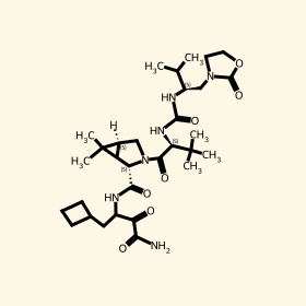 CC(C)[C@@H](CN1CCOC1=O)NC(=O)N[C@H](C(=O)N1C[C@H]2C([C@H]1C(=O)NC(CC1CCC1)C(=O)C(N)=O)C2(C)C)C(C)(C)C